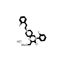 COCC1OC2(CCN(CCc3ccccc3F)CC2)CN(c2ccccc2F)C1=O.Cl